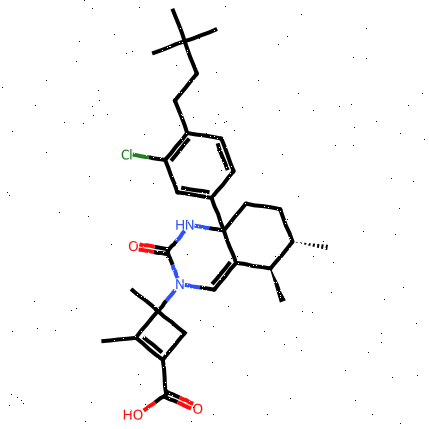 CC1=C(C(=O)O)CC1(C)N1C=C2[C@H](C)[C@@H](C)CCC2(c2ccc(CCC(C)(C)C)c(Cl)c2)NC1=O